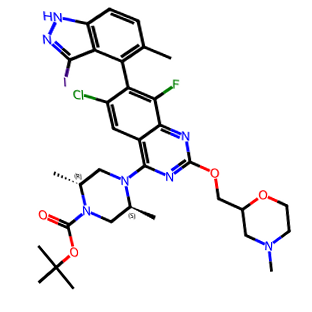 Cc1ccc2[nH]nc(I)c2c1-c1c(Cl)cc2c(N3C[C@@H](C)N(C(=O)OC(C)(C)C)C[C@@H]3C)nc(OCC3CN(C)CCO3)nc2c1F